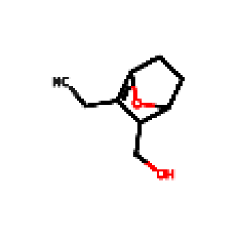 N#CCC1=C2CCC(O2)C1CO